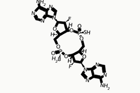 B[P@]1(=O)OC[C@H]2O[C@@H](n3cnc4c(N)ncnc43)[C@H](F)[C@@H]2O[P@@](=O)(S)OC[C@H]2O[C@@H](n3cnc4c(N)ncnc43)[C@H](F)[C@@H]2O1